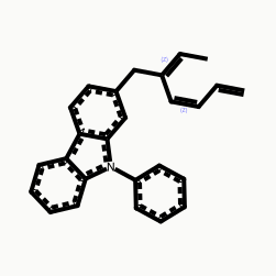 C=C/C=C\C(=C/C)Cc1ccc2c3ccccc3n(-c3ccccc3)c2c1